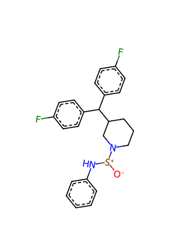 [O-][S+](Nc1ccccc1)N1CCCC(C(c2ccc(F)cc2)c2ccc(F)cc2)C1